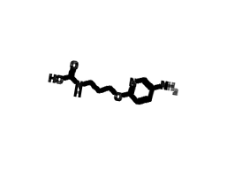 Nc1ccc(OCCCNC(=O)O)nc1